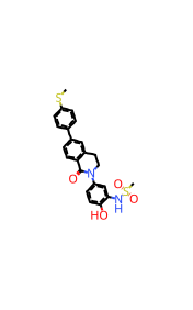 CSc1ccc(-c2ccc3c(c2)CCN(c2ccc(O)c(NS(C)(=O)=O)c2)C3=O)cc1